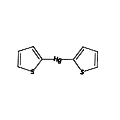 c1cs[c]([Hg][c]2cccs2)c1